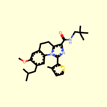 COc1cc2c(cc1CC(C)C)-n1c(-c3sccc3C)nc(C(=O)NCC(C)(C)C)c1CC2